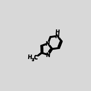 Cc1cn2c(n1)C=CNC2